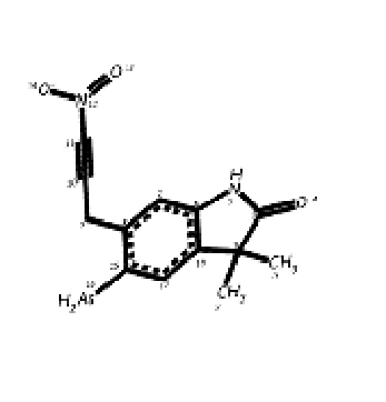 CC1(C)C(=O)Nc2cc(CC#C[N+](=O)[O-])c([AsH2])cc21